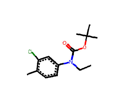 CCN(C(=O)OC(C)(C)C)c1ccc(C)c(Cl)c1